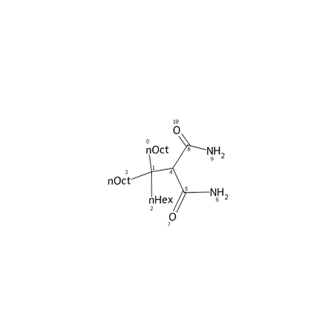 CCCCCCCCC(CCCCCC)(CCCCCCCC)C(C(N)=O)C(N)=O